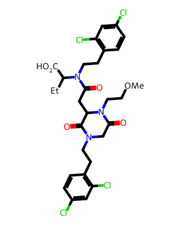 CCC(C(=O)O)N(CCc1ccc(Cl)cc1Cl)C(=O)CC1C(=O)N(CCc2ccc(Cl)cc2Cl)CC(=O)N1CCOC